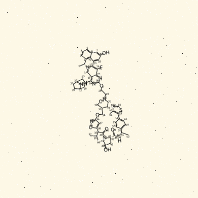 CCc1cccc2cc(O)cc(-c3ncc4c(N5CC6CCC(C5)N6)nc(OCCN5CCC(COc6cc(C(C(=O)N7C[C@H](O)C[C@H]7C(=O)NC(C)c7ccc(-c8scnc8C)cc7)C(C)C)on6)CC5)nc4c3F)c12